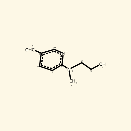 CN(CCO)c1ccc(C=O)cn1